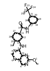 COc1ncc2ncnc(Nc3cc(C(=O)Nc4cccc(C(F)(F)F)c4)ccc3C)c2n1